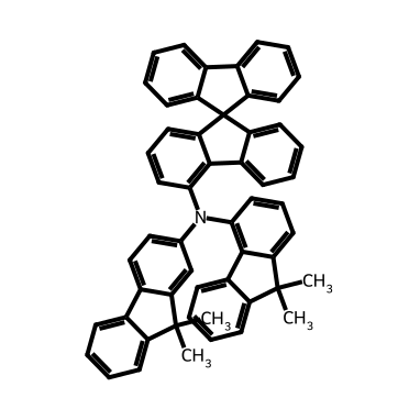 CC1(C)c2ccccc2-c2ccc(N(c3cccc4c3-c3ccccc3C4(C)C)c3cccc4c3-c3ccccc3C43c4ccccc4-c4ccccc43)cc21